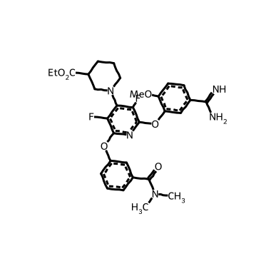 CCOC(=O)C1CCCN(c2c(F)c(Oc3cccc(C(=O)N(C)C)c3)nc(Oc3cc(C(=N)N)ccc3OC)c2F)C1